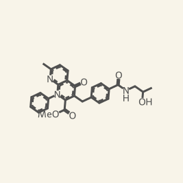 COC(=O)c1c(Cc2ccc(C(=O)NCC(C)O)cc2)c(=O)c2ccc(C)nc2n1-c1ccccc1